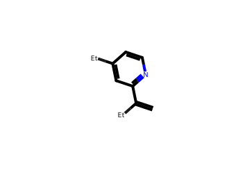 C=C(CC)c1cc(CC)ccn1